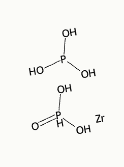 O=[PH](O)O.OP(O)O.[Zr]